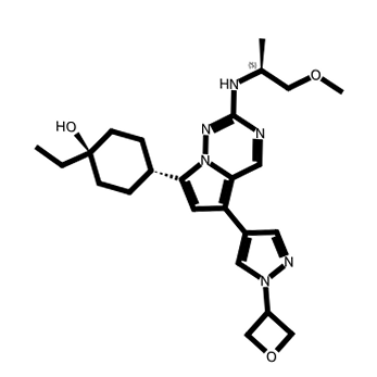 CC[C@]1(O)CC[C@H](c2cc(-c3cnn(C4COC4)c3)c3cnc(N[C@@H](C)COC)nn32)CC1